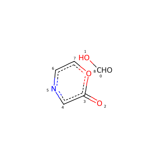 O=CO.O=c1cncco1